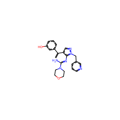 C=C(c1cccc(O)c1)c1cnn(Cc2cccnc2)c1/N=C(\N)N1CCOCC1